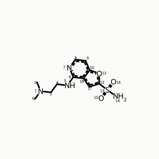 CN(C)CCNc1nccc2oc(S(N)(=O)=O)cc12